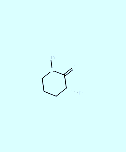 CC(C)[C@@H]1CCCN(C(C)C)C1=O